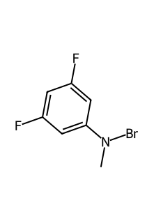 CN(Br)c1cc(F)cc(F)c1